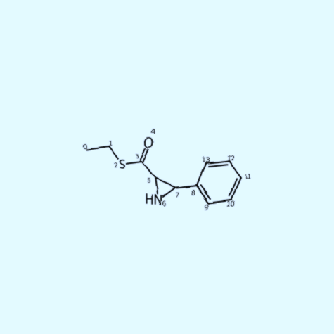 CCSC(=O)C1NC1c1ccccc1